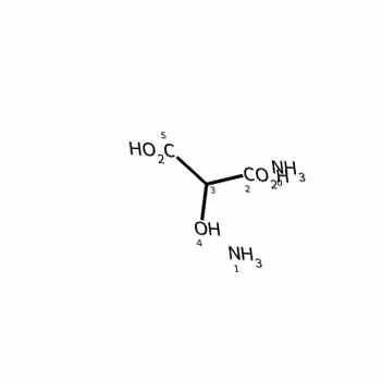 N.N.O=C(O)C(O)C(=O)O